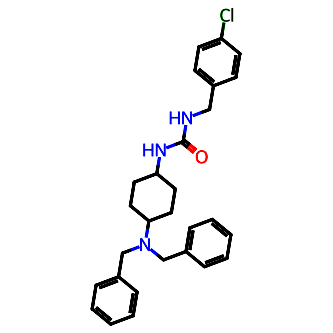 O=C(NCc1ccc(Cl)cc1)NC1CCC(N(Cc2ccccc2)Cc2ccccc2)CC1